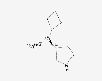 C1CC(N[C@H]2CCNC2)C1.Cl.Cl